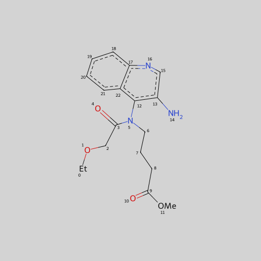 CCOCC(=O)N(CCCC(=O)OC)c1c(N)cnc2ccccc12